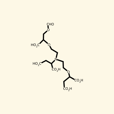 O=COCC(OCCN(CCOC(CC(=O)O)C(=O)O)C(CC(=O)O)C(=O)O)C(=O)O